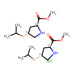 COC(=O)[C@@H]1C[C@@H](SC(C)C)CN1.COC(=O)[C@@H]1C[C@@H](SC(C)C)CN1.Cl